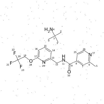 CC(C)(C)N.Cc1cc(C(=O)NCc2cccc(OCC(F)(F)F)n2)ccn1